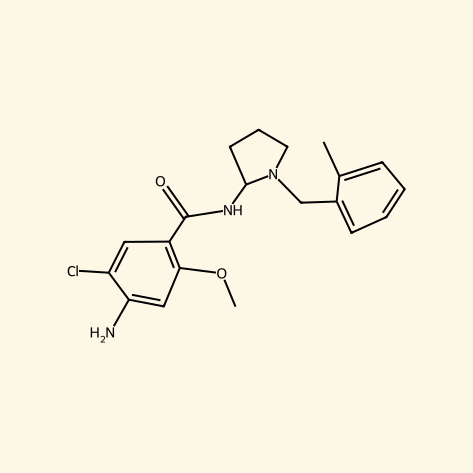 COc1cc(N)c(Cl)cc1C(=O)NC1CCCN1Cc1ccccc1C